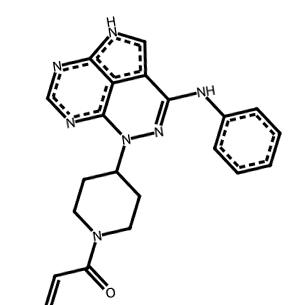 C=CC(=O)N1CCC(N2N=C(Nc3ccccc3)c3c[nH]c4ncnc2c34)CC1